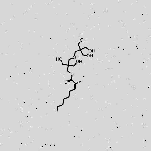 CCCCCCC=C(C)C(=O)OCC(CO)(CO)COCC(CO)(CO)CO